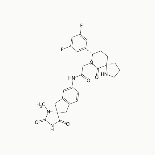 CN1C(=O)NC(=O)[C@@]12Cc1ccc(NC(=O)CN3C(=O)[C@@]4(CCCN4)CC[C@H]3c3cc(F)cc(F)c3)cc1C2